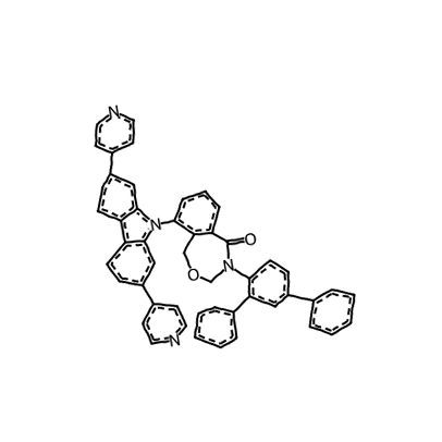 O=C1c2cccc(-n3c4cc(-c5ccncc5)ccc4c4ccc(-c5ccncc5)cc43)c2COCN1c1ccc(-c2ccccc2)cc1-c1ccccc1